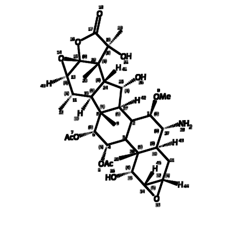 CO[C@@H]1C2C([C@H](OC(C)=O)[C@H](OC(C)=O)[C@]3(C)[C@H]4[C@H](C)[C@H]5O[C@]56OC(=O)[C@@](C)(O)[C@]6(C)[C@@H]4[C@H](O)[C@@H]23)[C@]2(C)[C@H](C[C@@H]3O[C@@H]3[C@@H]2O)[C@H]1N